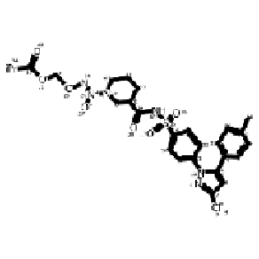 Cc1ccc(-c2cc(C(F)(F)F)nn2-c2ccc(S(=O)(=O)NC(=O)C3CCCN([N+]([O-])=NOCOC(=O)C(C)C)C3)cc2)cc1